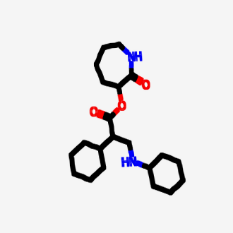 O=C1NCCCCC1OC(=O)C(CNC1CCCCC1)C1CCCCC1